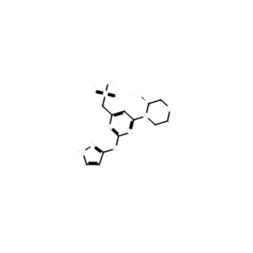 C[C@H]1COCCN1c1cc(CS(C)(=O)=O)nc(Nc2cc[nH]n2)n1